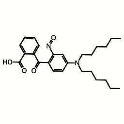 CCCCCCN(CCCCCC)c1ccc(C(=O)c2ccccc2C(=O)O)c(N=O)c1